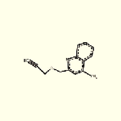 C#CCOCc1cc(C)c2ccccc2n1